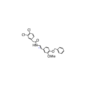 COc1cc(/C=C/NC(=O)Cc2ccc(Cl)c(Cl)c2)ccc1OCc1ccccc1